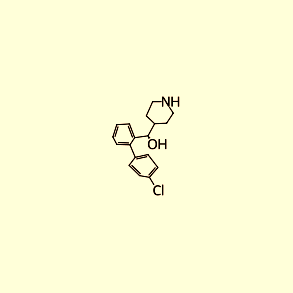 O[C@@H](c1ccccc1-c1ccc(Cl)cc1)C1CCNCC1